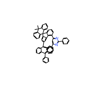 CC1(C)c2ccccc2C2(c3ccc(-c4c5ccccc5c(-c5ccccc5)c5ccccc45)cc3-c3c(-c4cc(-c5c#cccc5)nc(-c5ccccc5)n4)cccc32)c2ccccc21